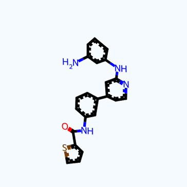 Nc1cccc(Nc2cc(-c3cccc(NC(=O)c4cccs4)c3)ccn2)c1